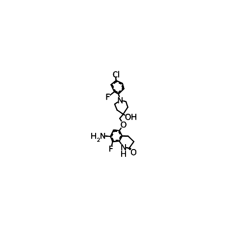 Nc1cc(OCC2(O)CCN(c3ccc(Cl)cc3F)CC2)c2c(c1F)NC(=O)CC2